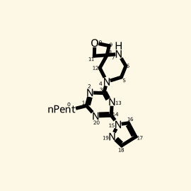 CCCCCc1nc(N2CCNC3(COC3)C2)nc(-n2cccn2)n1